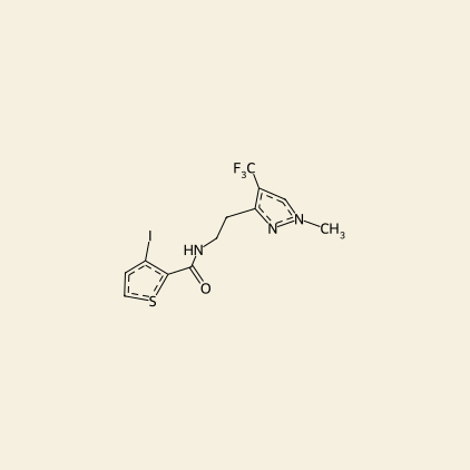 Cn1cc(C(F)(F)F)c(CCNC(=O)c2sccc2I)n1